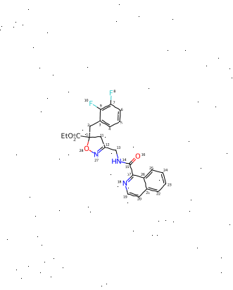 CCOC(=O)C1(Cc2cccc(F)c2F)CC(CNC(=O)c2nccc3ccccc23)=NO1